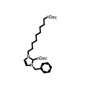 CCCCCCCCCCCCCCCCCCCN1C=CN(Cc2ccccc2)C1CCCCCCCCCC